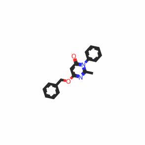 Cc1nc(OCc2ccccc2)cc(=O)n1-c1ccccc1